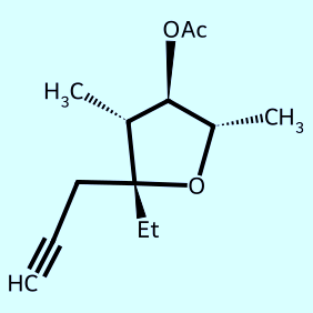 C#CC[C@@]1(CC)O[C@@H](C)[C@H](OC(C)=O)[C@H]1C